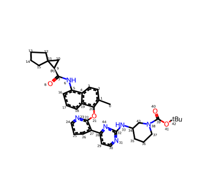 Cc1ccc2c(NC(=O)[C@@H]3CC34CCCC4)cccc2c1Oc1ncccc1-c1ccnc(NC2CCCN(C(=O)OC(C)(C)C)C2)n1